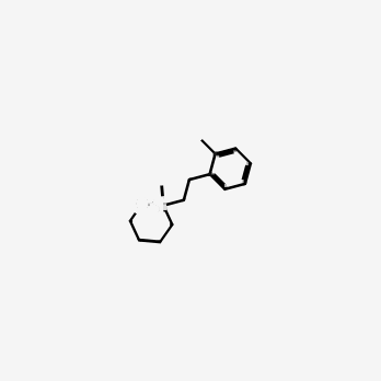 Cc1ccccc1CC[Si]1(C)CCCCO1